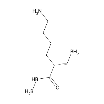 BBC(=O)[C@@H](CB)CCCCN